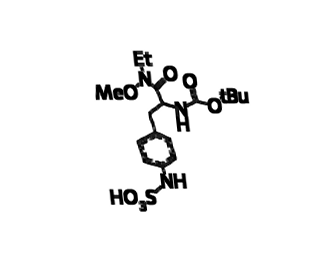 CCN(OC)C(=O)C(Cc1ccc(NS(=O)(=O)O)cc1)NC(=O)OC(C)(C)C